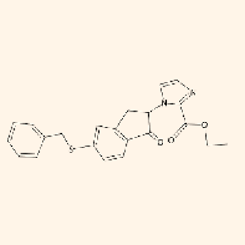 CCOC(=O)c1nccn1C1Cc2cc(SCc3ccccc3)ccc2C1=O